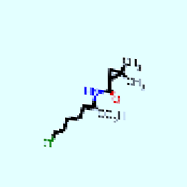 CC1(C)CC1C(=O)N/C(=C/CCCCCl)C(=O)O